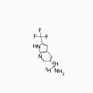 [2H]C([2H])(N)c1cnc2[nH]c(C(F)(F)F)cc2c1